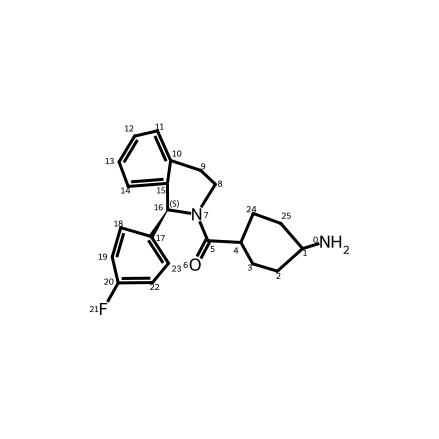 NC1CCC(C(=O)N2CCc3ccccc3[C@@H]2c2ccc(F)cc2)CC1